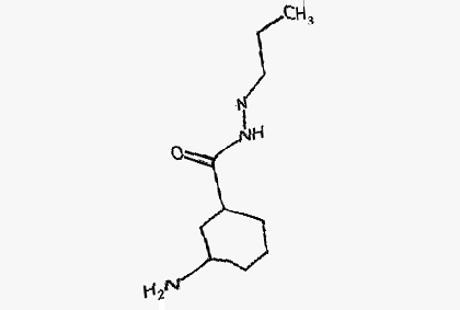 CCC[N]NC(=O)C1CCCC(N)C1